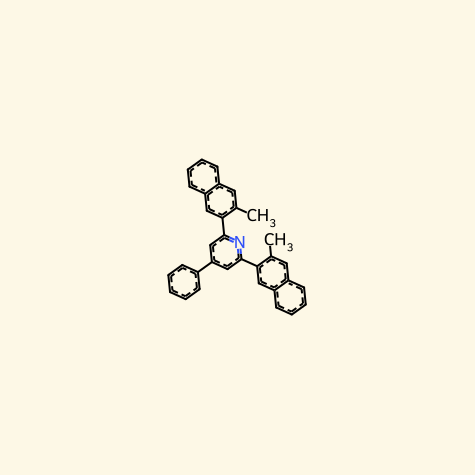 Cc1cc2ccccc2cc1-c1cc(-c2ccccc2)cc(-c2cc3ccccc3cc2C)n1